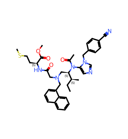 CC[C@H](C)[C@@H](CN(CC(=O)N[C@@H](CCSC)C(=O)OC)Cc1cccc2ccccc12)N(C(C)=O)c1cncn1Cc1ccc(C#N)cc1